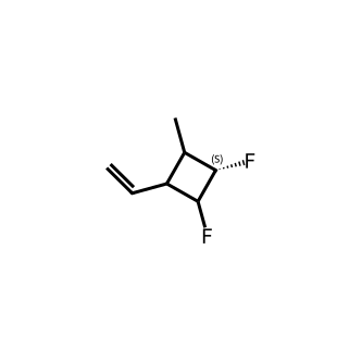 C=CC1C(C)[C@H](F)C1F